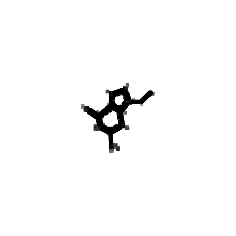 CCn1nnc2c(=O)[nH]c(N)nc21